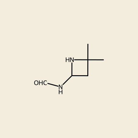 CC1(C)CC(NC=O)N1